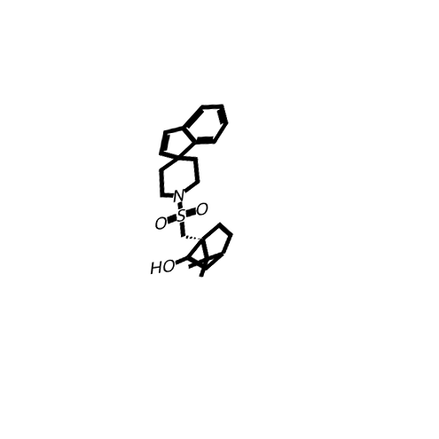 CC1(C)C2CC[C@]1(CS(=O)(=O)N1CCC3(C=Cc4ccccc43)CC1)C(O)C2